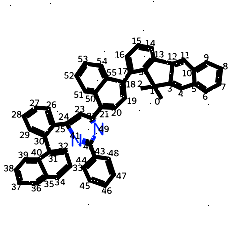 CC1(C)c2cc3ccccc3cc2-c2cccc(-c3ccc(-c4cc(-c5ccccc5-c5cccc6ccccc56)nc(-c5ccccc5)n4)c4ccccc34)c21